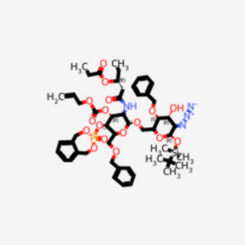 C=CCOC(=O)O[C@@H]1C(NC(=O)C[C@@H](CC)OC(=O)CC)[C@H](OCC2O[C@H](O[Si](C)(C)C(C)(C)C)C(N=[N+]=[N-])[C@@H](O)[C@@H]2OCc2ccccc2)OC(COCc2ccccc2)[C@H]1OP1(=O)OCc2ccccc2CO1